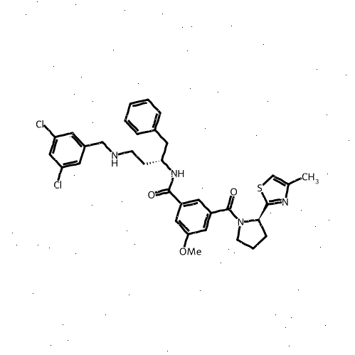 COc1cc(C(=O)N[C@H](CCNCc2cc(Cl)cc(Cl)c2)Cc2ccccc2)cc(C(=O)N2CCC[C@@H]2c2nc(C)cs2)c1